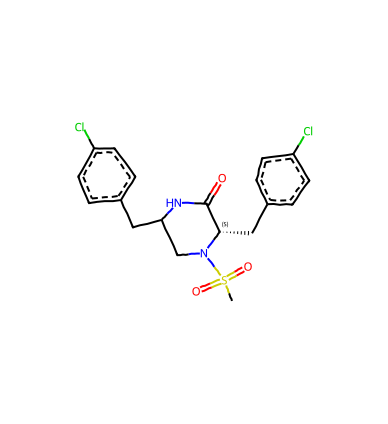 CS(=O)(=O)N1CC(Cc2ccc(Cl)cc2)NC(=O)[C@@H]1Cc1ccc(Cl)cc1